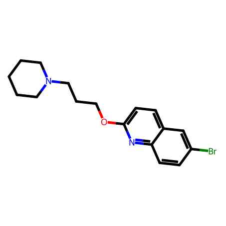 Brc1ccc2nc(OCCCN3CCCCC3)ccc2c1